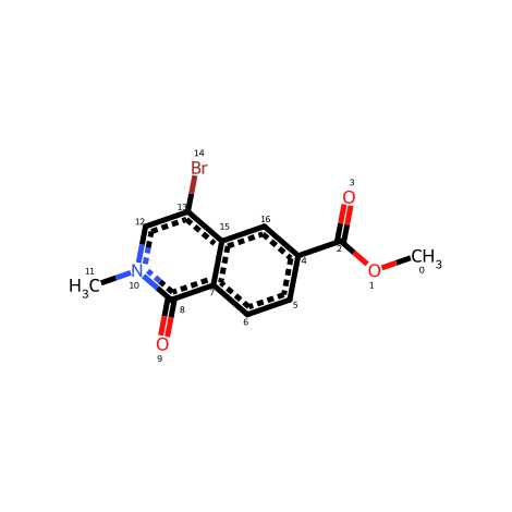 COC(=O)c1ccc2c(=O)n(C)cc(Br)c2c1